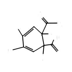 O=C(O)C1(Br)C=C(Br)C(Br)=CC1(Br)C(=O)O